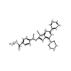 CN(Cc1nc2c(N3CCOCC3)nc(-c3cncnc3)nc2n1C)c1ncc(C(=O)ON)cn1